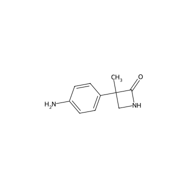 CC1(c2ccc(N)cc2)CNC1=O